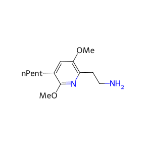 CCCCCc1cc(OC)c(CCN)nc1OC